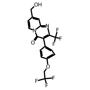 O=c1c(-c2ccc(OCC(F)(F)F)cc2)c(C(F)(F)F)nc2cc(CO)ccn12